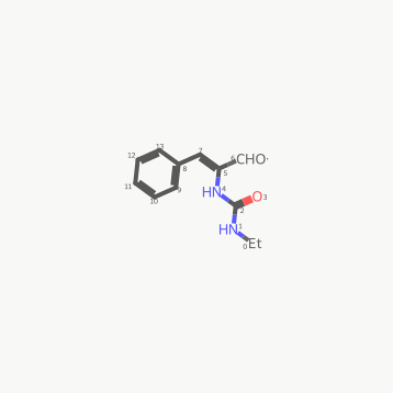 CCNC(=O)NC([C]=O)=Cc1ccccc1